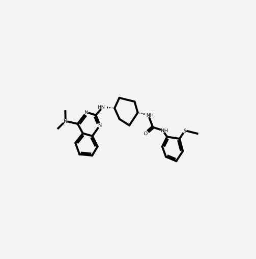 CSc1ccccc1NC(=O)N[C@H]1CC[C@@H](Nc2nc(N(C)C)c3ccccc3n2)CC1